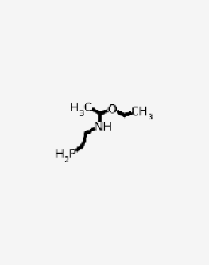 CCOC(C)NCCP